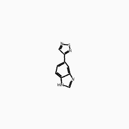 c1nc2cc(-c3cnsn3)ccc2[nH]1